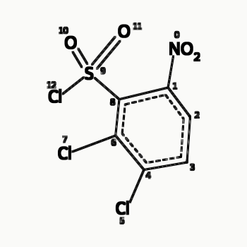 O=[N+]([O-])c1ccc(Cl)c(Cl)c1S(=O)(=O)Cl